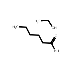 CCCCCC(N)=O.CCO